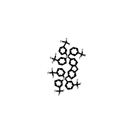 FC(F)(F)c1cccc([Si](c2cccc(C(F)(F)F)c2)(c2cccc(C(F)(F)F)c2)c2ccc3c(c2)-c2cc([Si](c4cccc(C(F)(F)F)c4)(c4cccc(C(F)(F)F)c4)c4cccc(C(F)(F)F)c4)ccc2C3)c1